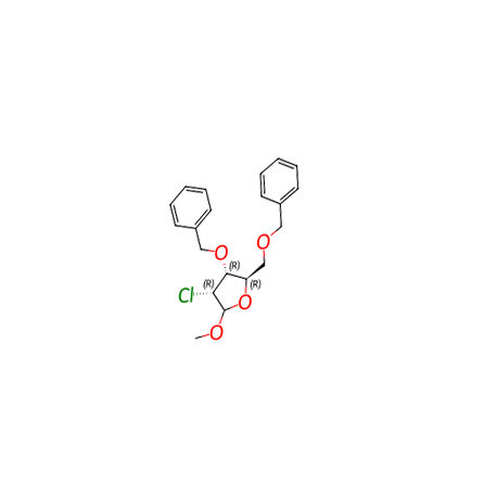 COC1O[C@H](COCc2ccccc2)[C@@H](OCc2ccccc2)[C@H]1Cl